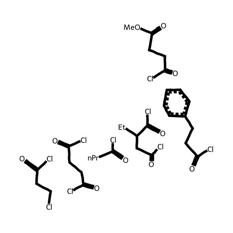 CCC(CC(=O)Cl)C(=O)Cl.CCCC(=O)Cl.COC(=O)CCC(=O)Cl.O=C(Cl)CCC(=O)Cl.O=C(Cl)CCCl.O=C(Cl)CCc1ccccc1